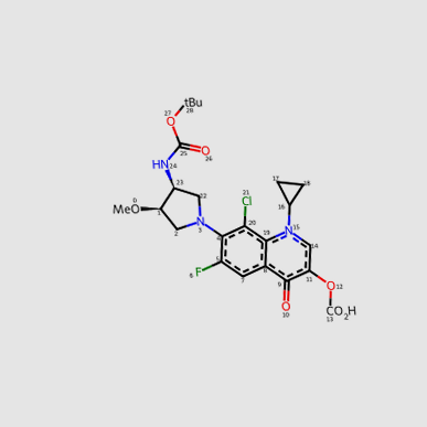 CO[C@@H]1CN(c2c(F)cc3c(=O)c(OC(=O)O)cn(C4CC4)c3c2Cl)C[C@@H]1NC(=O)OC(C)(C)C